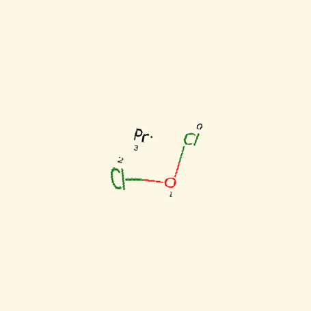 ClOCl.[Pr]